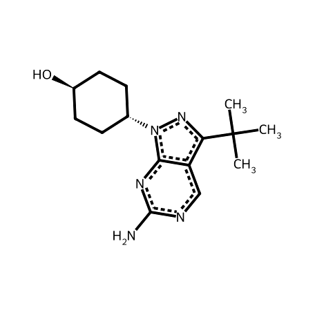 CC(C)(C)c1nn([C@H]2CC[C@H](O)CC2)c2nc(N)ncc12